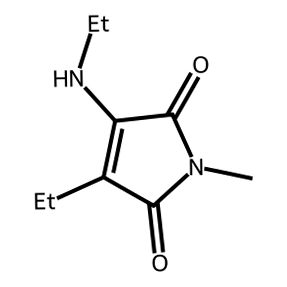 CCNC1=C(CC)C(=O)N(C)C1=O